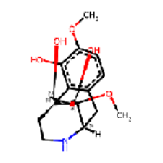 COC1=C2[C@@H]3Cc4ccc(OC)c(O)c4[C@]2(CCN3)C[C@@H](O)[C@H]1O